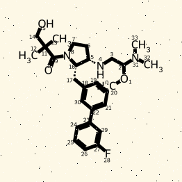 COC(CN[C@H]1CCN(C(=O)C(C)(C)CO)[C@H]1Cc1cccc(-c2cccc(F)c2)c1)N(C)C